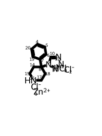 Cl.[Cl-].[Cl-].[Zn+2].c1ccc(C2(n3cnnn3)CCNCC2)cc1